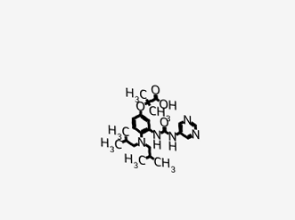 CC(C)CN(CC(C)C)c1ccc(OC(C)(C)C(=O)O)cc1NC(=O)Nc1cncnc1